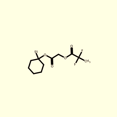 CCC1(OC(=O)COC(=O)C(C)(F)F)CCCCC1